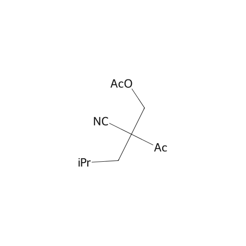 CC(=O)OCC(C#N)(CC(C)C)C(C)=O